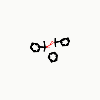 CC(C)(OOC(C)(C)c1ccccc1)c1ccccc1.c1ccccc1